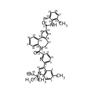 Cc1ccc2c(c1)c(-c1cccc(C(=O)N3CCc4cc(C(=O)Nc5c(C)cccc5F)sc4-c4ccccc43)n1)cn2S(C)(C)C(C)(C)C